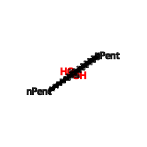 CCCCCC=CCC=CCCCCCCCC(O)C(O)CCCCCCCC=CCC=CCCCCC